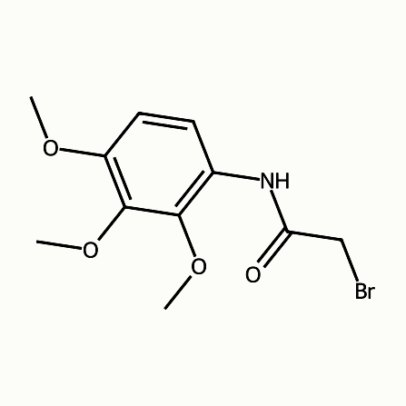 COc1ccc(NC(=O)CBr)c(OC)c1OC